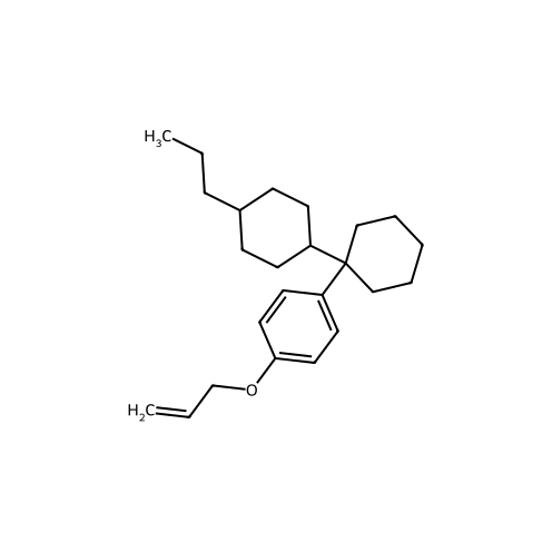 C=CCOc1ccc(C2(C3CCC(CCC)CC3)CCCCC2)cc1